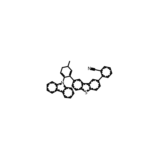 CC1C=C(c2ccc3sc4ccc(-c5ccccc5C#N)cc4c3c2)C(n2c3ccccc3c3ccccc32)=CC1